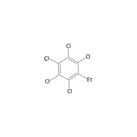 [CH2]Cc1c(Cl)c(Cl)c(Cl)c(Cl)c1Cl